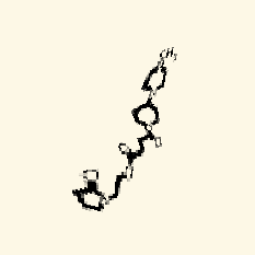 CN1CCN(C2CCN(C(=O)CCC(=O)OCCN3CCCC3=O)CC2)CC1